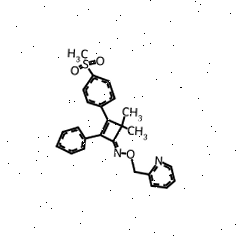 CC1(C)C(=NOCc2ccccn2)C(c2ccccc2)=C1c1ccc(S(C)(=O)=O)cc1